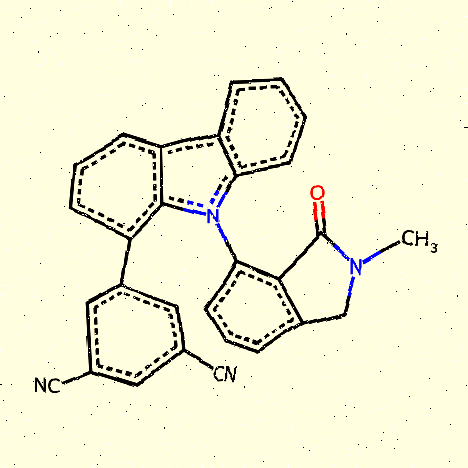 CN1Cc2cccc(-n3c4ccccc4c4cccc(-c5cc(C#N)cc(C#N)c5)c43)c2C1=O